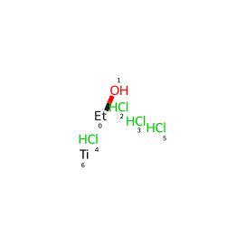 CCO.Cl.Cl.Cl.Cl.[Ti]